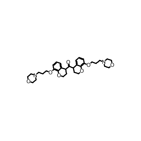 O=C(C1CCOc2c(OCCCN3CCOCC3)cccc21)C1CCOc2c(OCCCN3CCOCC3)cccc21